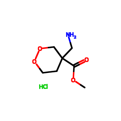 COC(=O)C1(CN)CCOOC1.Cl